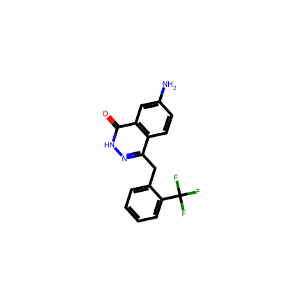 Nc1ccc2c(Cc3ccccc3C(F)(F)F)n[nH]c(=O)c2c1